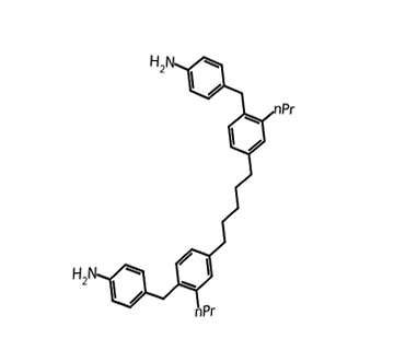 CCCc1cc(CCCCCc2ccc(Cc3ccc(N)cc3)c(CCC)c2)ccc1Cc1ccc(N)cc1